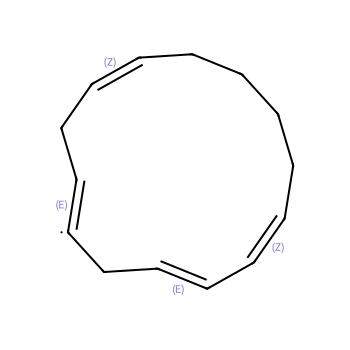 [C]1=C/C/C=C\CCCC/C=C\C=C\C/1